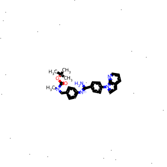 CN(Cc1ccc(/N=C(\N)c2ccc(-n3ccc4cccnc43)cc2)cc1)C(=O)OC(C)(C)C